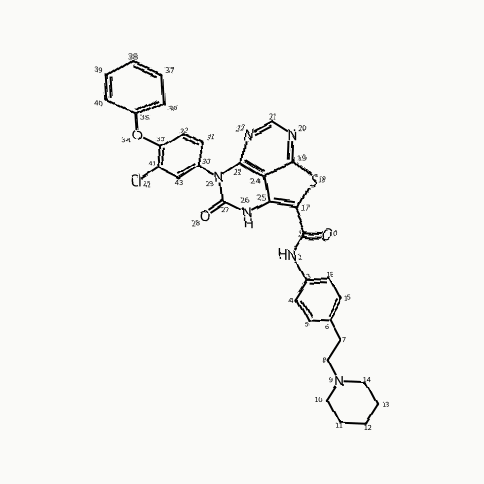 O=C(Nc1ccc(CCN2CCCCC2)cc1)c1sc2ncnc3c2c1NC(=O)N3c1ccc(Oc2ccccc2)c(Cl)c1